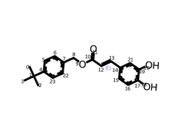 CC(C)(C)c1ccc(COC(=O)/C=C/c2ccc(O)c(O)c2)cc1